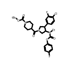 CCN(C(=O)Oc1ccc(F)cc1)C1CN(C(=O)C2CCN(C(=O)OC(C)(C)C)CC2)CC1c1ccc(Cl)c(F)c1